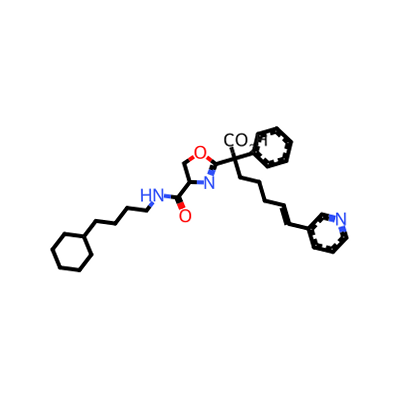 O=C(NCCCCC1CCCCC1)C1COC(C(CCCC=Cc2cccnc2)(C(=O)O)c2ccccc2)=N1